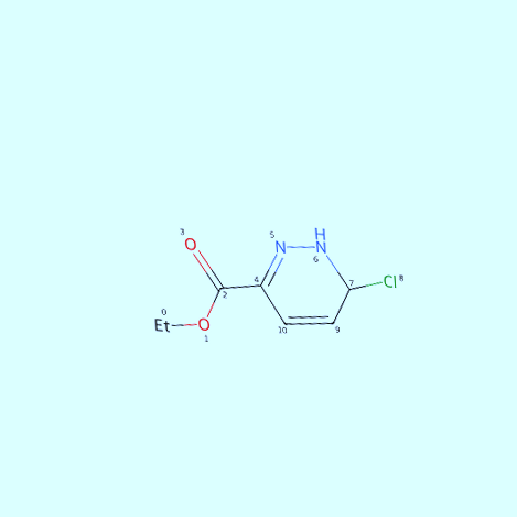 CCOC(=O)C1=NNC(Cl)C=C1